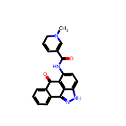 CN1C=C(C(=O)Nc2ccc3[nH]nc4c3c2C(=O)c2ccccc2-4)C=CC1